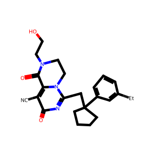 CCc1cccc(C2(Cc3nc(=O)c(C#N)c4n3CCN(CCO)C4=O)CCCC2)c1